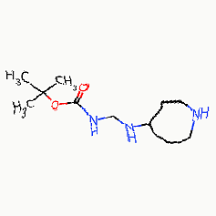 CC(C)(C)OC(=O)NCNC1CCNCC1